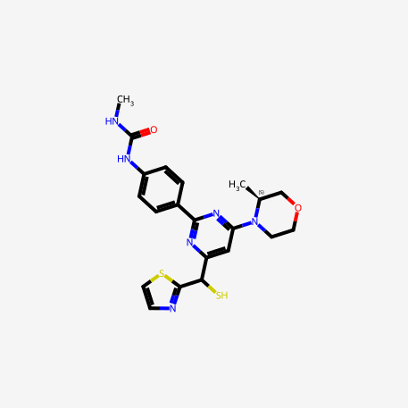 CNC(=O)Nc1ccc(-c2nc(C(S)c3nccs3)cc(N3CCOC[C@@H]3C)n2)cc1